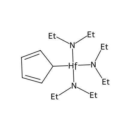 CC[N](CC)[Hf]([CH]1C=CC=C1)([N](CC)CC)[N](CC)CC